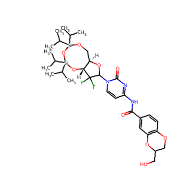 CC(C)[Si]1(C(C)C)OC[C@H]2OC(n3ccc(NC(=O)c4ccc5c(c4)OC(CO)CO5)nc3=O)C(F)(F)[C@@H]2O[Si](C(C)C)(C(C)C)O1